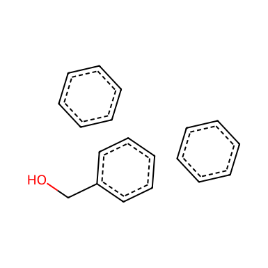 OCc1ccccc1.c1ccccc1.c1ccccc1